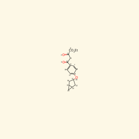 CCOC(=O)C(=O)CC(=O)c1ccc(OC2CC3CC3C2)cc1